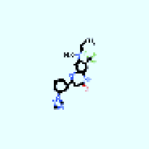 CCCN(C)c1cc2c(cc1C(F)(F)F)NC(=O)CC(c1cccc(-n3cncn3)c1)=N2